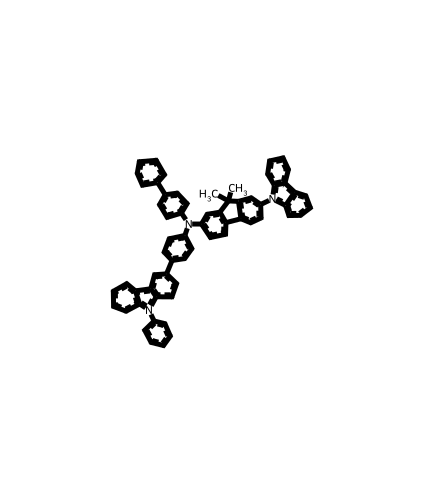 CC1(C)c2cc(N(c3ccc(-c4ccccc4)cc3)c3ccc(-c4ccc5c(c4)c4ccccc4n5-c4ccccc4)cc3)ccc2-c2ccc(-n3c4ccccc4c4ccccc43)cc21